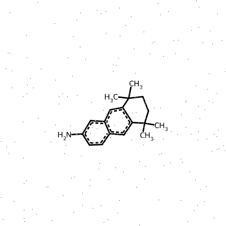 CC1(C)CCC(C)(C)c2cc3cc(N)ccc3cc21